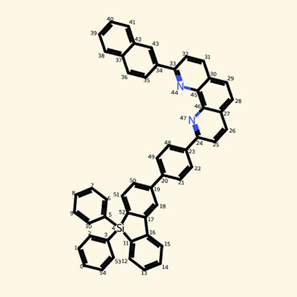 c1ccc([Si]2(c3ccccc3)c3ccccc3-c3cc(-c4ccc(-c5ccc6ccc7ccc(-c8ccc9ccccc9c8)nc7c6n5)cc4)ccc32)cc1